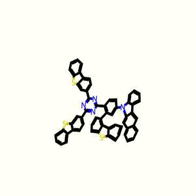 c1ccc2cc3c(cc2c1)c1ccccc1n3-c1ccc(-c2nc(-c3ccc4c(c3)sc3ccccc34)nc(-c3ccc4c(c3)sc3ccccc34)n2)c(-c2cccc3sc4ccccc4c23)c1